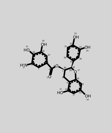 Nc1cc(C(=O)O[C@@H]2Cc3c(O)cc(O)cc3O[C@@H]2c2ccc(O)c(O)c2)cc(O)c1O